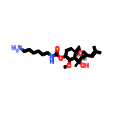 COC1C(OC(=O)NCCCCCCN)CC[C@]2(CO2)C1[C@@](C)(O)[C@@H]1CC1C=C(C)C